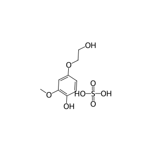 COc1cc(OCCO)ccc1O.O=S(=O)(O)O